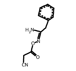 N#CCC(=O)O/N=C(\N)Cc1ccccc1